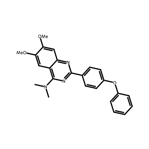 COc1cc2nc(-c3ccc(Oc4ccccc4)cc3)nc(N(C)C)c2cc1OC